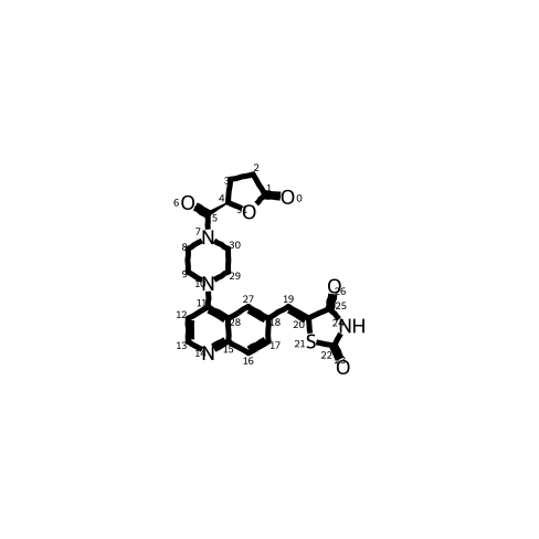 O=C1CC[C@H](C(=O)N2CCN(c3ccnc4ccc(/C=C5\SC(=O)NC5=O)cc34)CC2)O1